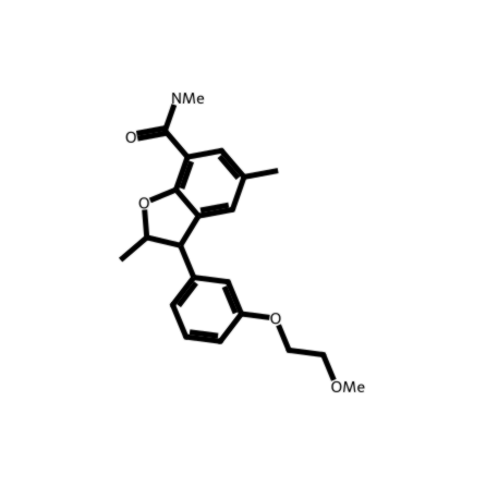 CNC(=O)c1cc(C)cc2c1OC(C)C2c1cccc(OCCOC)c1